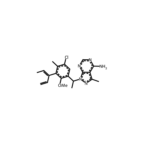 C=C/C(=C\C)c1c(C)c(Cl)cc(C(C)n2nc(C)c3c(N)ncnc32)c1OC